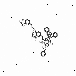 CC(CCc1ccc(OCCCc2cccc(OC(F)(F)F)c2)c(C(F)(F)F)c1)(COP(=O)(Cc1ccccc1)Cc1ccccc1)NC(=O)OCc1ccccc1